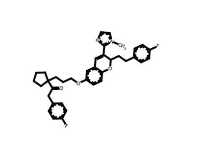 Cn1ccnc1C1=Cc2cc(OCCCC3(C(=O)Cc4ccc(F)cc4)CCCC3)ccc2OC1CCc1ccc(F)cc1